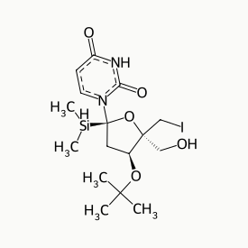 C[SiH](C)[C@]1(n2ccc(=O)[nH]c2=O)C[C@H](OC(C)(C)C)[C@](CO)(CI)O1